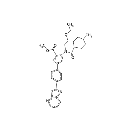 CCOCCN(C(=O)C1CCC(C)CC1)c1cc(-c2ccc(-c3cc4ncccn4n3)cc2)sc1C(=O)OC